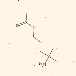 CC(C)(C)N.CCOC(C)=O